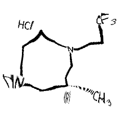 C[C@@H]1CNCCN1CC(F)(F)F.Cl